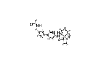 CC(=O)NCc1cnc(-c2ccc(NCC3(c4ncccc4F)CCC3)nn2)s1